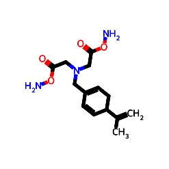 C=C(C)C1C=CC(CN(CC(=O)ON)CC(=O)ON)=CC1